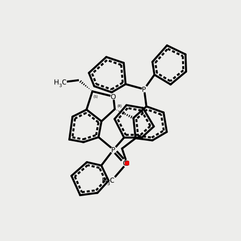 CC[C@@H]1O[C@H](c2c(COC)cccc2P(c2ccccc2)c2ccccc2)c2c1cccc2P(=O)(c1ccccc1)c1ccccc1